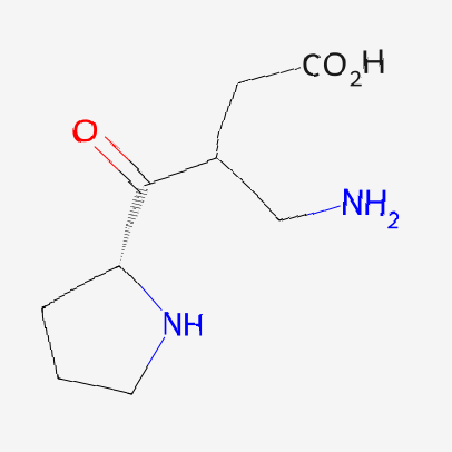 NCC(CC(=O)O)C(=O)[C@H]1CCCN1